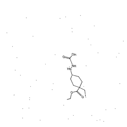 CCOC(=O)C1(CC)CCC(NNC(=O)O)CC1